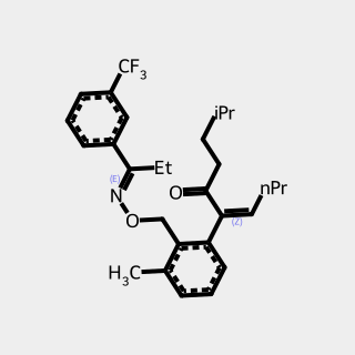 CCC/C=C(\C(=O)CCC(C)C)c1cccc(C)c1CO/N=C(\CC)c1cccc(C(F)(F)F)c1